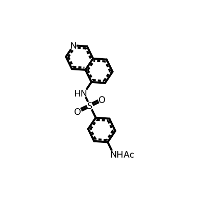 CC(=O)Nc1ccc(S(=O)(=O)Nc2cccc3cnccc23)cc1